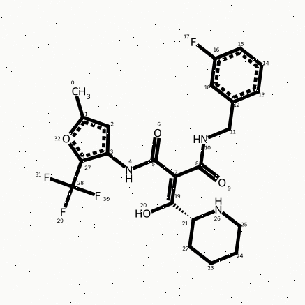 Cc1cc(NC(=O)/C(C(=O)NCc2cccc(F)c2)=C(\O)[C@H]2CCCCN2)c(C(F)(F)F)o1